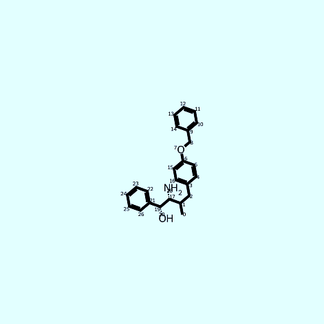 CC(Cc1ccc(OCc2ccccc2)cc1)[C@@H](N)[C@H](O)c1ccccc1